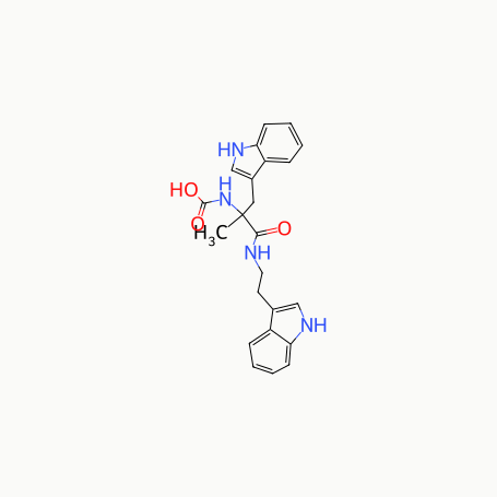 CC(Cc1c[nH]c2ccccc12)(NC(=O)O)C(=O)NCCc1c[nH]c2ccccc12